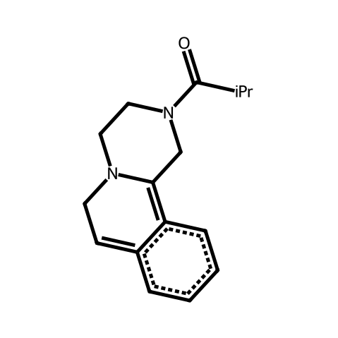 CC(C)C(=O)N1CCN2CC=c3ccccc3=C2C1